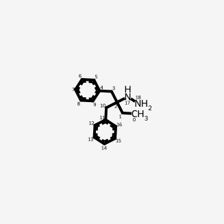 CCC(Cc1ccccc1)(Cc1ccccc1)NN